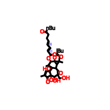 CCCCC(=O)CC/C=C/C=C/C(=O)OC1C(C)C2(O)C(C3OC3(CO)C(O)C3(O)C(=O)C(C)=CC32)C2C(C)(C)C12OC(=O)C(C)CC